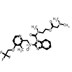 Cc1c(OCC(F)(F)F)ccnc1C[S@@+]([O-])c1nc2ccccc2n1C(=O)N(C)CCOC(=O)CN(C)C